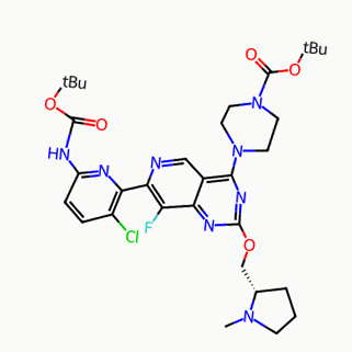 CN1CCC[C@H]1COc1nc(N2CCN(C(=O)OC(C)(C)C)CC2)c2cnc(-c3nc(NC(=O)OC(C)(C)C)ccc3Cl)c(F)c2n1